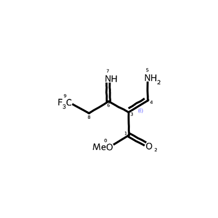 COC(=O)/C(=C/N)C(=N)CC(F)(F)F